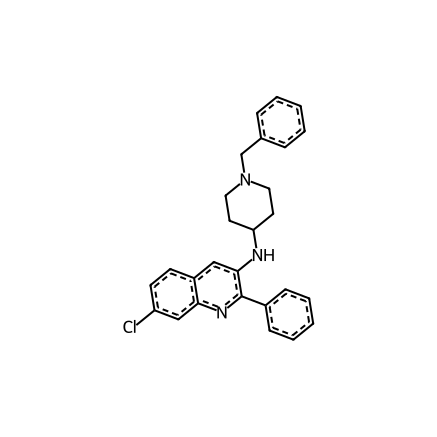 Clc1ccc2cc(NC3CCN(Cc4ccccc4)CC3)c(-c3ccccc3)nc2c1